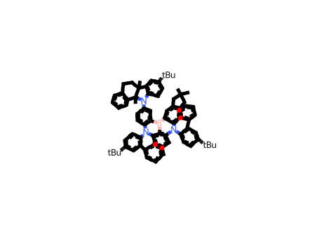 Cc1cc2c3c(c1)N(c1ccc(C(C)(C)C)cc1-c1ccccc1)c1cc4c(cc1B3c1cc(N3c5ccc(C(C)(C)C)cc5C5(C)CCc6ccccc6C35C)ccc1N2c1ccc(C(C)(C)C)cc1-c1ccccc1)CC(C)(C)C4